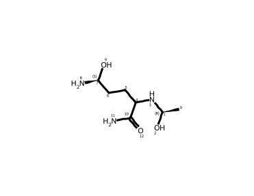 C[C@@H](O)NC(CC[C@@H](N)O)C(N)=O